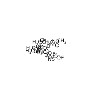 COc1ccccc1-c1nccc(COc2ccc(CN(C(=O)OC(C)(C)C)S(=O)(=O)CC[Si](C)(C)C)cc2CC(Oc2ncnc3sc(-c4ccc(F)cc4)c(Br)c23)C(=O)O)n1